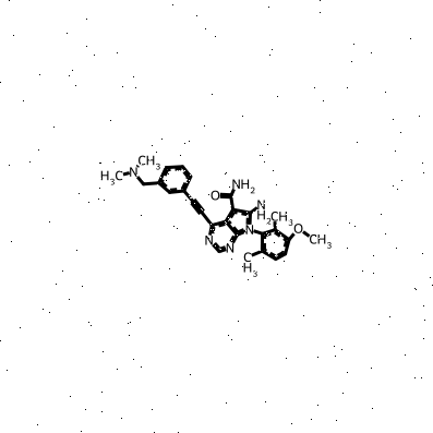 COc1ccc(C)c(-n2c(N)c(C(N)=O)c3c(C#Cc4cccc(CN(C)C)c4)ncnc32)c1C